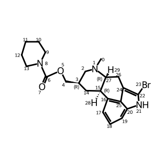 CN1C[C@H](COC(=O)N2CCCCC2)C[C@@H]2c3cccc4[nH]c(Br)c(c34)C[C@H]21